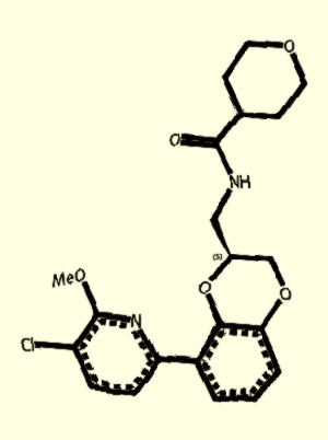 COc1nc(-c2cccc3c2O[C@@H](CNC(=O)C2CCOCC2)CO3)ccc1Cl